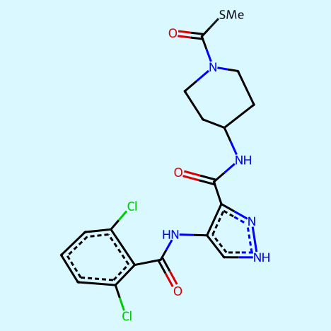 CSC(=O)N1CCC(NC(=O)c2n[nH]cc2NC(=O)c2c(Cl)cccc2Cl)CC1